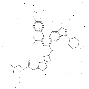 CC(C)COC(=O)CN1CCC2(CC(Oc3nc(C(C)C)c(-c4ccc(F)cc4)c4cc5cnn(C6CCCCO6)c5cc34)C2)C1